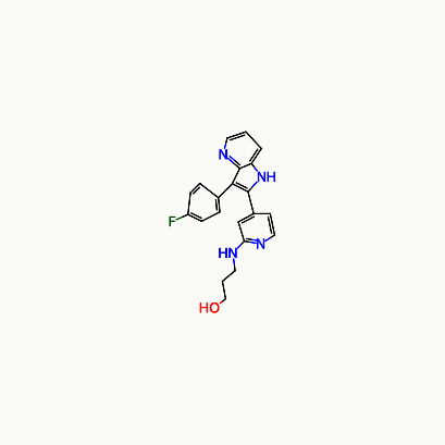 OCCCNc1cc(-c2[nH]c3cccnc3c2-c2ccc(F)cc2)ccn1